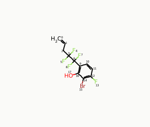 C=CCC(F)(F)C(F)(F)c1ccc(F)c(Br)c1O